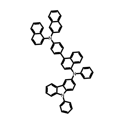 c1ccc(N(c2ccc3c(c2)c2ccccc2n3-c2ccccc2)c2ccc(-c3ccc(N(c4ccc5ccccc5c4)c4cccc5ccccc45)cc3)c3ccccc23)cc1